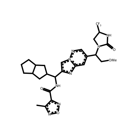 COCC(c1cnn2cc(C(NC(=O)c3nonc3C)C3CC4CCCC4C3)nc2c1)N1CC(C(F)(F)F)NC1=O